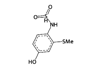 CSc1cc(O)ccc1N[SH](=O)=O